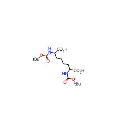 CC(C)(C)OC(=O)NC(CCCCC(NC(=O)OC(C)(C)C)C(=O)O)C(=O)O